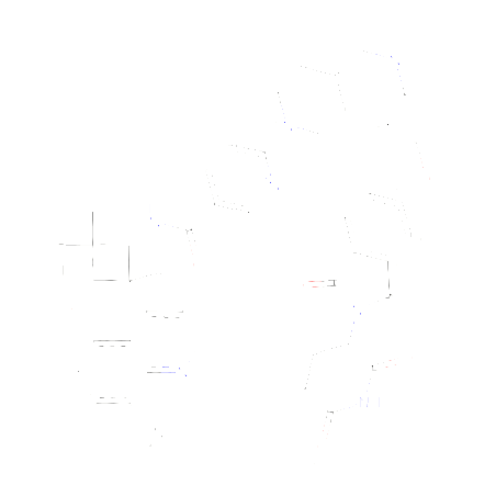 CC(C)N(CC1CCN(c2ccc(C(=O)NC3C(C)(C)[C@@H]4Oc5ccc(C#N)c6nccc(c56)C34C)cn2)CC1)C1CC(Oc2ccc3c(c2)C(=O)N(C2CCC(=O)NC2=O)C3=O)C1